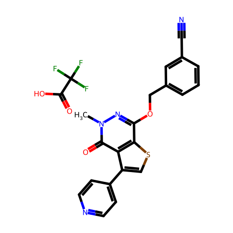 Cn1nc(OCc2cccc(C#N)c2)c2scc(-c3ccncc3)c2c1=O.O=C(O)C(F)(F)F